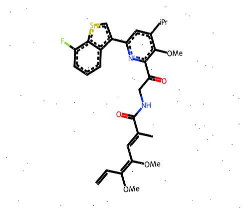 C=C/C(OC)=C(\C=C(/C)C(=O)NCC(=O)c1nc(-c2csc3c(F)cccc23)cc(C(C)C)c1OC)OC